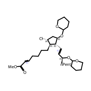 CCCCC[C@@H](/C=C/[C@@H]1[C@@H](CCCC/C=C/C(=O)OC)[C@H](Cl)C[C@H]1OC1CCCCO1)OC1CCCCO1